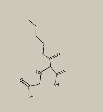 CCCCOC(=O)C(NCC(=O)O)C(=O)O